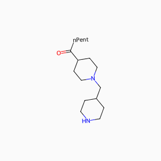 CCCCCC(=O)C1CCN(CC2CCNCC2)CC1